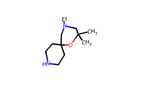 CCN1CC(C)(C)OC2(CCNCC2)C1